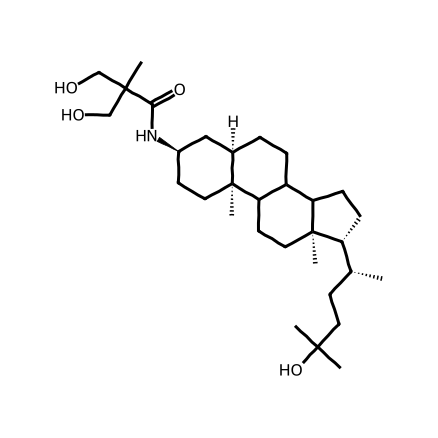 C[C@H](CCC(C)(C)O)[C@H]1CCC2C3CC[C@@H]4C[C@H](NC(=O)C(C)(CO)CO)CC[C@]4(C)C3CC[C@@]21C